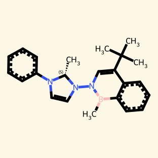 CB1c2ccccc2C(C(C)(C)C)=CN1N1C=CN(c2ccccc2)[C@@H]1C